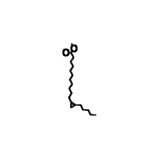 CCCCCC1=C(CCCCCCCCCCC(=O)OC)C1